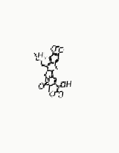 NCCCc1c2c(nc3cc4c(cc13)OCO4)-c1cc3c(c(=O)n1C2)COC(=O)[C@H]3O